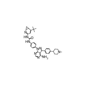 CN1CCC(c2ccc(-c3nn(-c4ccc(NC(=O)NC5=NC6CC6C(C(C)(C)C)=C5)cc4)c4ncnc(N)c34)cc2)CC1